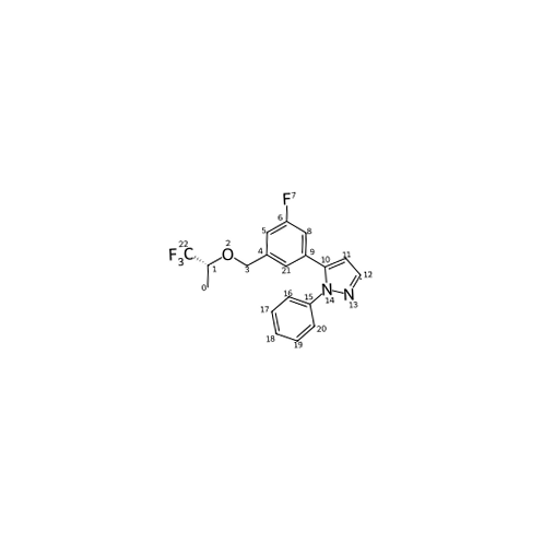 C[C@@H](OCc1cc(F)cc(-c2c[c]nn2-c2ccccc2)c1)C(F)(F)F